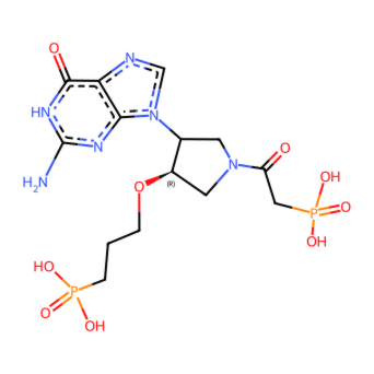 Nc1nc2c(ncn2C2CN(C(=O)CP(=O)(O)O)C[C@H]2OCCCP(=O)(O)O)c(=O)[nH]1